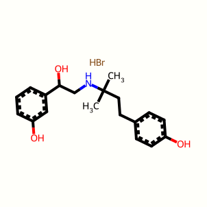 Br.CC(C)(CCc1ccc(O)cc1)NCC(O)c1cccc(O)c1